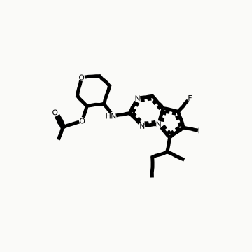 CCC(C)c1c(I)c(F)c2cnc(NC3CCOCC3OC(C)=O)nn12